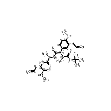 C=CCc1cc([C@@H](C(=O)N[C@@H](N)C(=O)N[C@@H](CC=C)C(=O)OC)N(C)C(=O)OC(C)(C)C)ccc1OC